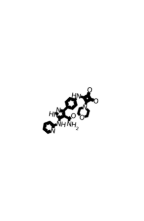 NC(=O)c1c(-c2ccc(Nc3c(N4CCOCC4)c(=O)c3=O)cc2)n[nH]c1Nc1ccccn1